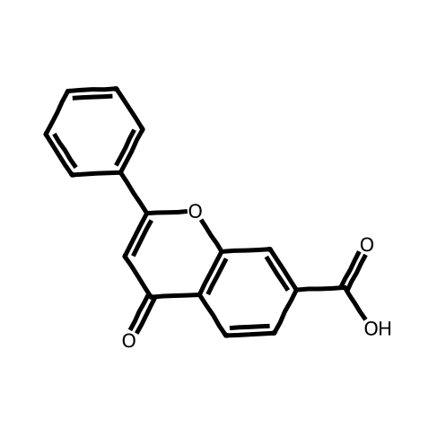 O=C(O)c1ccc2c(=O)cc(-c3ccccc3)oc2c1